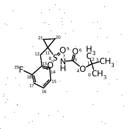 CC(C)(C)OC(=O)NS(=O)(=O)C1(Cc2ccccc2F)CC1